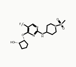 CS(=O)(=O)N1CCC(Nc2ncc(C(F)(F)F)c(O[C@@H]3CCC[C@@H]3O)n2)CC1